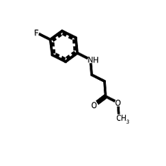 COC(=O)CCNc1ccc(F)cc1